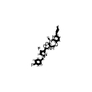 CC#Cc1ccc2c(n1)N(C)C(=O)C(NC(=O)c1nn(Cc3ccc(F)cc3)cc1F)CO2